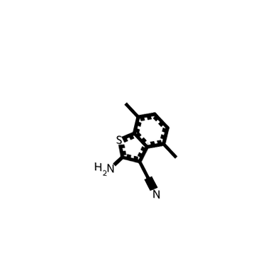 Cc1ccc(C)c2c(C#N)c(N)sc12